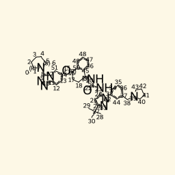 C[C@@H]1CCC[C@H](C)N1c1nnc2ccc(O[C@@H]3CC[C@H](NC(=O)Nc4cc(C(C)(C)C)nn4-c4cccc(CN5CCCC5)c4)c4ccccc43)cn12